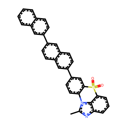 Cc1nc2cccc3c2n1-c1ccc(-c2ccc4cc(-c5ccc6ccccc6c5)ccc4c2)cc1S3(=O)=O